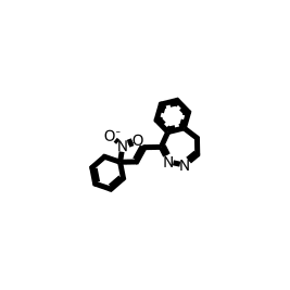 O=[N+]([O-])C1(C=CC2=NN=CCc3ccccc32)C=CC=CC1